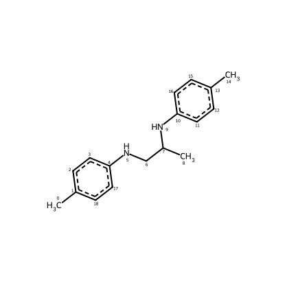 Cc1ccc(NCC(C)Nc2ccc(C)cc2)cc1